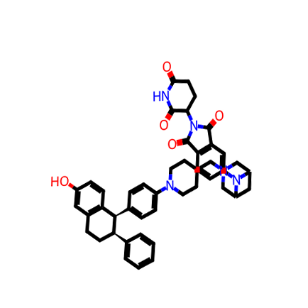 O=C1CCC(N2C(=O)c3ccc(N4C5CC4CN(CC4CCN(c6ccc([C@@H]7c8ccc(O)cc8CC[C@@H]7c7ccccc7)cc6)CC4)C5)cc3C2=O)C(=O)N1